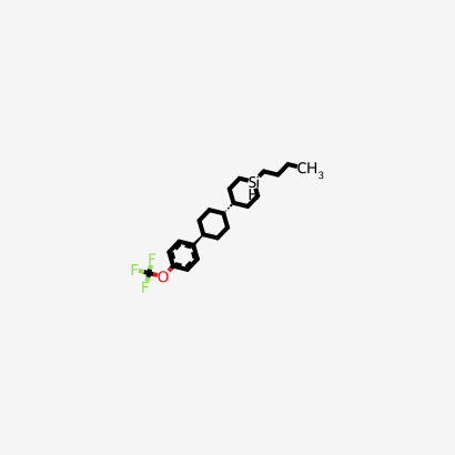 CCCC[SiH]1CCC([C@H]2CC[C@H](c3ccc(OC(F)(F)F)cc3)CC2)CC1